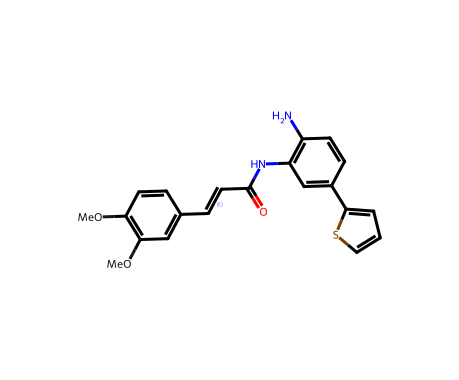 COc1ccc(/C=C/C(=O)Nc2cc(-c3cccs3)ccc2N)cc1OC